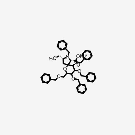 COC(=O)[C@H]1N(Cc2ccccc2)[C@@H](CO)CC12OC(COCc1ccccc1)C(OCc1ccccc1)C(OCc1ccccc1)C2OCc1ccccc1